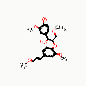 COC/C=C/c1ccc(O[C@H](COC)C(O)c2ccc(O)c(OC)c2)c(OC)c1